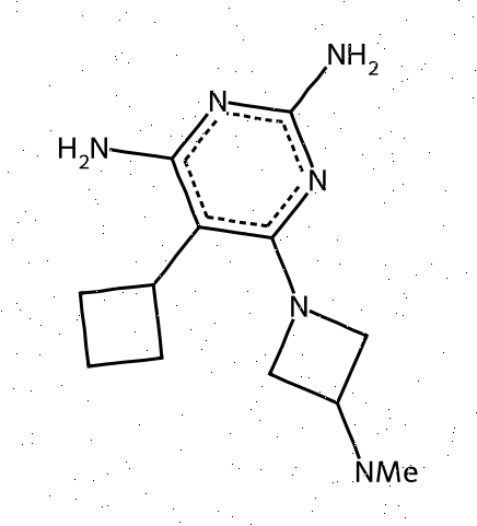 CNC1CN(c2nc(N)nc(N)c2C2CCC2)C1